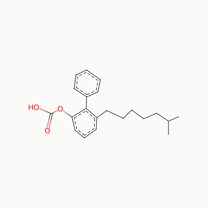 CC(C)CCCCCc1cccc(OC(=O)O)c1-c1ccccc1